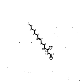 CCCCCCC=CCCCC(=O)CC=O